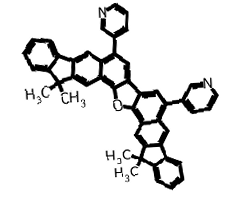 CC1(C)c2ccccc2-c2cc3c(-c4cccnc4)cc4c5cc(-c6cccnc6)c6cc7c(cc6c5oc4c3cc21)C(C)(C)c1ccccc1-7